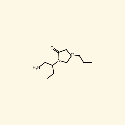 CCC[C@@H]1CC(=O)N(C(CC)CN)C1